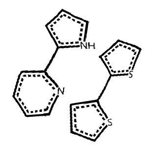 c1ccc(-c2ccc[nH]2)nc1.c1csc(-c2cccs2)c1